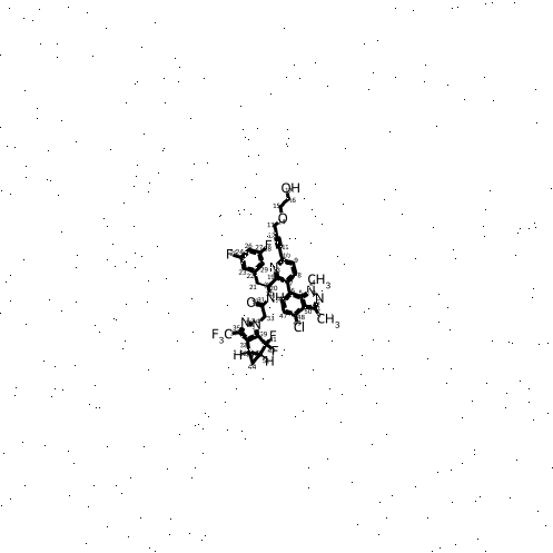 Cc1nn(C)c2c(-c3ccc(C#CCOCCO)nc3[C@H](Cc3cc(F)cc(F)c3)NC(=O)Cn3nc(C(F)(F)F)c4c3C(F)(F)[C@@H]3C[C@H]43)ccc(Cl)c12